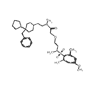 COc1cc(C)c(S(=O)(=O)N(C)CCOCC(=O)N(C)CCC2CCC(Cc3ccccc3)(N3CCCC3)CC2)c(C)c1